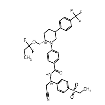 CCC(F)(F)OC[C@@H]1CCC(c2ccc(C(F)(F)F)cc2)CN1c1ccc(C(=O)N[C@H](CC#N)c2ccc(S(=O)(=O)CC)cc2)cc1